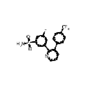 NS(=O)(=O)c1cc(F)cc(-c2ncccc2-c2ccc(C(F)(F)F)cc2)c1